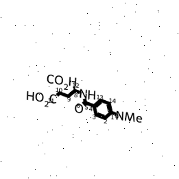 CNc1ccc(C(=O)N[C@@H](CCC(=O)O)C(=O)O)cc1